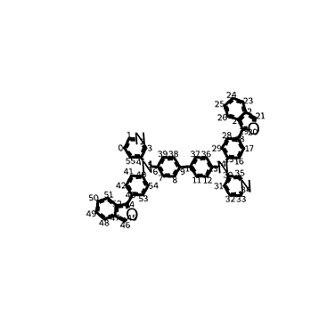 c1cncc(N(c2ccc(-c3ccc(N(c4ccc(-c5occ6ccccc56)cc4)c4cccnc4)cc3)cc2)c2ccc(-c3occ4ccccc34)cc2)c1